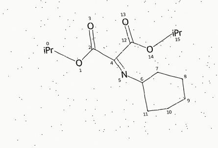 CC(C)OC(=O)C(=NC1CCCCC1)C(=O)OC(C)C